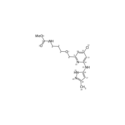 COC(=O)NCCCOCc1cc(Cl)cc(Nc2cc(C)n[nH]2)n1